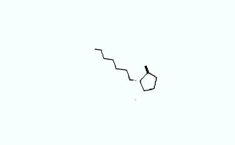 CCCC[C@H]1CCC(=O)[C@@H]1CCCCCCC(=O)OCC